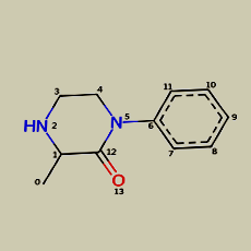 CC1NCCN(c2ccccc2)C1=O